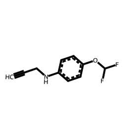 C#CCNc1ccc(OC(F)F)cc1